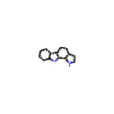 c1ccc2c(c1)[nH]c1c2ccc2cc[nH]c21